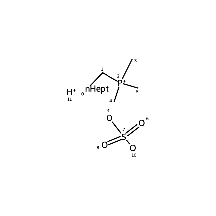 CCCCCCCC[P+](C)(C)C.O=S(=O)([O-])[O-].[H+]